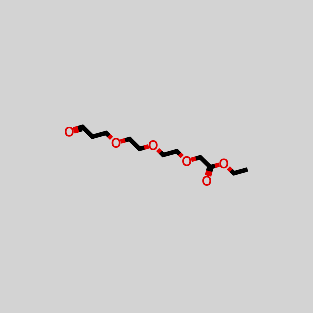 CCOC(=O)COCCOCCOCCC=O